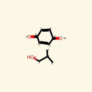 CC(C)CO.O=C1C=CC(=O)C=C1